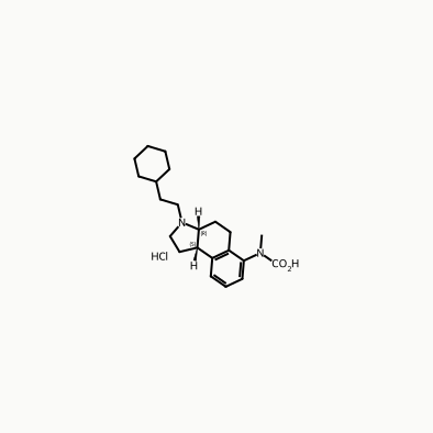 CN(C(=O)O)c1cccc2c1CC[C@@H]1[C@H]2CCN1CCC1CCCCC1.Cl